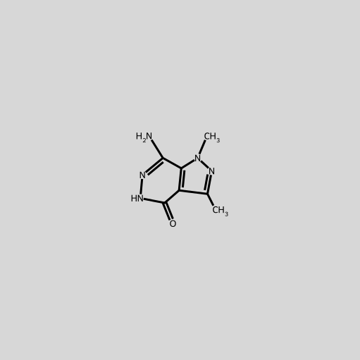 Cc1nn(C)c2c(N)n[nH]c(=O)c12